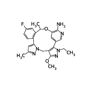 CCn1nc(OC)c2c1-c1cnc(N)c(c1)OC(C)c1cc(F)ccc1-c1cc(C)nn1C2